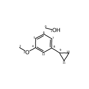 CO.COc1cccc(C2CC2)c1